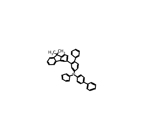 CC1(C)c2ccccc2-c2cc(-c3cc(N(c4ccccc4)c4ccc(-c5ccccc5)cc4)ccc3-c3ccccc3)ccc21